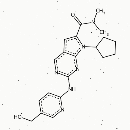 CN(C)C(=O)c1cc2cnc(Nc3ccc(CO)cn3)nc2n1C1CCCC1